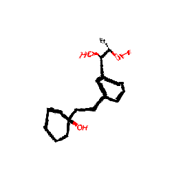 CC[C@H](O)[C@H](O)c1cccc(CCC2(O)CCCCC2)c1